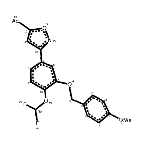 COc1ccc(COc2cc(-c3cc(C(C)=O)on3)ccc2OC(F)F)cc1